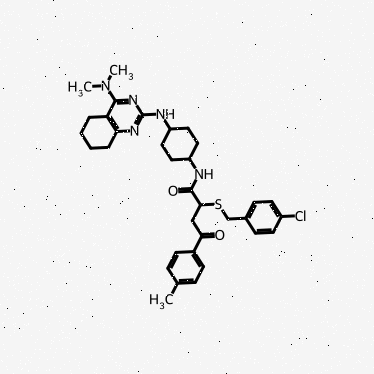 Cc1ccc(C(=O)CC(SCc2ccc(Cl)cc2)C(=O)NC2CCC(Nc3nc4c(c(N(C)C)n3)CCCC4)CC2)cc1